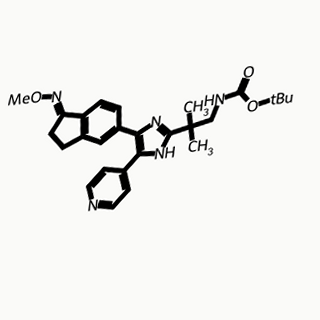 CON=C1CCc2cc(-c3nc(C(C)(C)CNC(=O)OC(C)(C)C)[nH]c3-c3ccncc3)ccc21